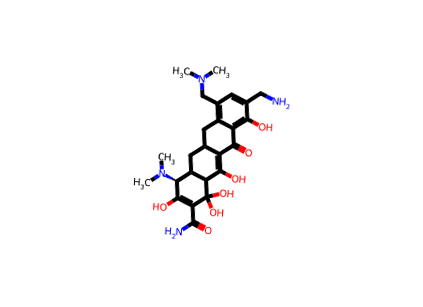 CN(C)Cc1cc(CN)c(O)c2c1CC1CC3C(C(O)=C1C2=O)C(O)(O)C(C(N)=O)=C(O)[C@H]3N(C)C